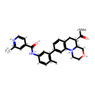 CNC(=O)[C@@H]1Cc2ccc(-c3cc(NC(=O)c4ccnc(C(F)(F)F)c4)ccc3C)cc2N2CCOCC12